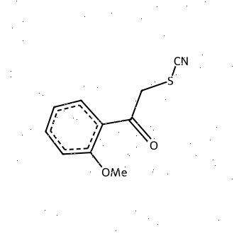 COc1ccccc1C(=O)CSC#N